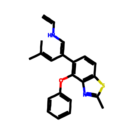 C=CN/C=C(\C=C(C)C)c1ccc2sc(C)nc2c1Oc1ccccc1